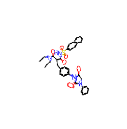 CCN(CC)C(=O)C(Cc1ccc(N2C(=O)CN(c3ccccc3)C2=O)cc1)C(=O)NS(=O)(=O)c1ccc2ccccc2c1